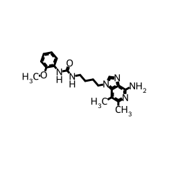 COc1ccccc1NC(=O)NCCCCn1cnc2c(N)nc(C)c(C)c21